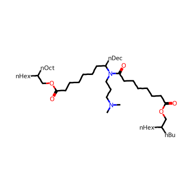 CCCCCCCCCCC(CCCCCCC(=O)OCC(CCCCCC)CCCCCCCC)N(CCCN(C)C)C(=O)CCCCCCC(=O)OCC(CCCC)CCCCCC